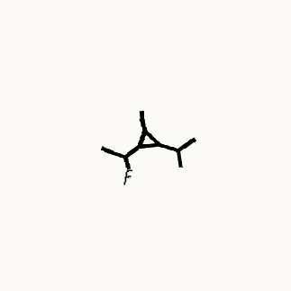 CC(C)C1C(C)C1C(C)F